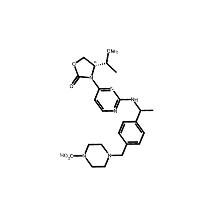 COC(C)[C@H]1COC(=O)N1c1ccnc(NC(C)c2ccc(CN3CCN(C(=O)O)CC3)cc2)n1